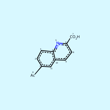 CC(=O)c1ccc2nc(C(=O)O)ccc2c1